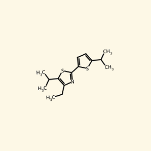 CCc1nc(-c2ccc(C(C)C)s2)sc1C(C)C